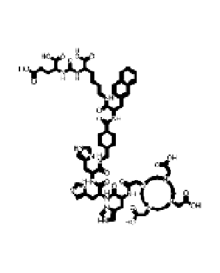 O=C(O)CCC(NC(=O)NC(CCCCNC(=O)C(Cc1ccc2ccccc2c1)NC(=O)C1CCC(CNC(=O)C(Cc2c[nH]cn2)NC(=O)C(Cc2cnc[nH]2)NC(=O)C(Cc2c[nH]cn2)NC(=O)CN2CCN(CC(=O)O)CCN(CC(=O)O)CCN(CC(=O)O)CC2)CC1)C(=O)O)C(=O)O